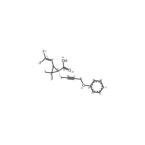 CC1(C)C(C=C(F)F)[C@@]1(CC#CCOc1ccccc1)C(=O)O